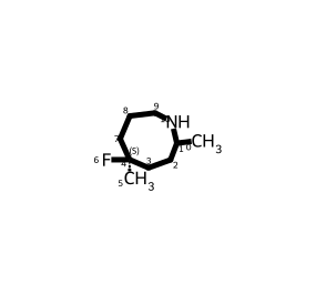 CC1CC[C@@](C)(F)CCCN1